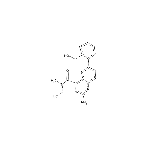 CCN(C)C(=O)c1nc(N)nc2ccc(-c3ccccc3CO)cc12